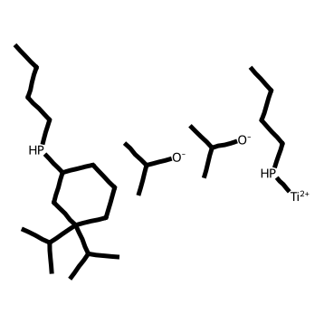 CC(C)[O-].CC(C)[O-].CCCCPC1CCCC(C(C)C)(C(C)C)C1.CCCC[PH][Ti+2]